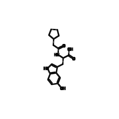 O=C(CC1CCCC1)NC(Cc1c[nH]c2ccc(O)cc12)C(=O)O